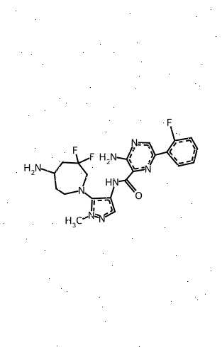 Cn1ncc(NC(=O)c2nc(-c3ccccc3F)cnc2N)c1N1CCC(N)CC(F)(F)C1